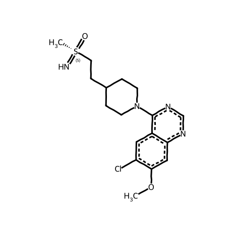 COc1cc2ncnc(N3CCC(CC[S@@](C)(=N)=O)CC3)c2cc1Cl